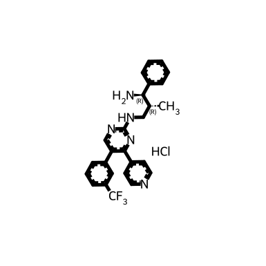 C[C@H](CNc1ncc(-c2cccc(C(F)(F)F)c2)c(-c2ccncc2)n1)[C@@H](N)c1ccccc1.Cl